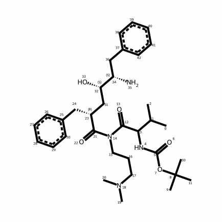 CC(C)C(NC(=O)OC(C)(C)C)C(=O)N(CCCN(C)C)C(=O)[C@H](Cc1ccccc1)C[C@H](O)[C@@H](N)Cc1ccccc1